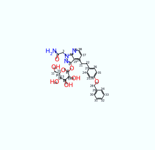 NC(=O)Cn1nc(O[C@@H]2O[C@H](CO)[C@@H](O)[C@H](O)[C@H]2O)c2c(CCc3ccc(OCc4ccccc4)cc3)ccnc21